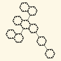 c1ccc(-c2ccc(-c3ccc4c(-c5cccc6ccccc56)c5ccccc5c(-c5cccc6ccccc56)c4c3)cc2)cc1